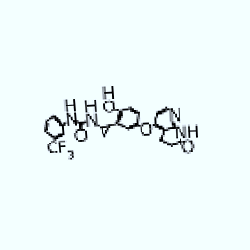 O=C1CCc2c(Oc3ccc(O)c([C@H]4C[C@@H]4NC(=O)Nc4cccc(C(F)(F)F)c4)c3)ccnc2N1